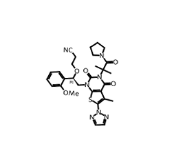 COc1ccccc1[C@H](Cn1c(=O)n(C(C)(C)C(=O)N2CCCC2)c(=O)c2c(C)c(-n3nccn3)sc21)OCCC#N